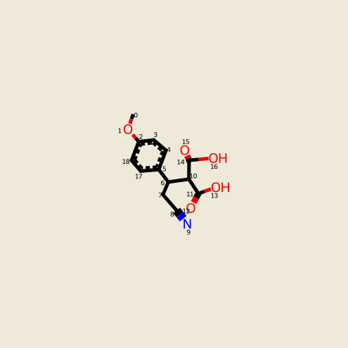 COc1ccc(C(CC#N)C(C(=O)O)C(=O)O)cc1